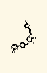 O=C1C(=O)N(CC2CCN(c3ccnc(Cl)n3)CC2)CCN1CC=Cc1ccc(Cl)s1